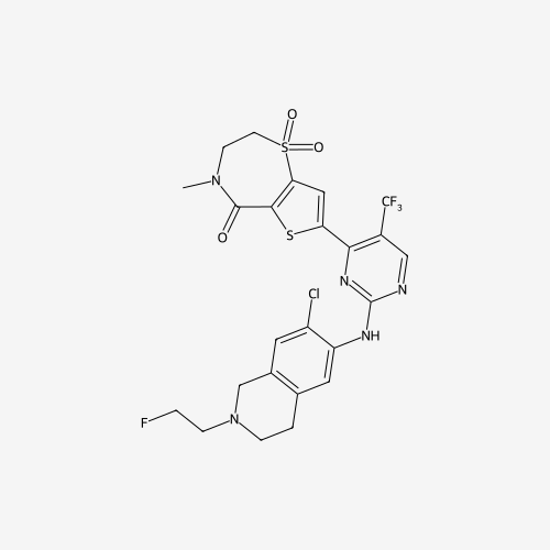 CN1CCS(=O)(=O)c2cc(-c3nc(Nc4cc5c(cc4Cl)CN(CCF)CC5)ncc3C(F)(F)F)sc2C1=O